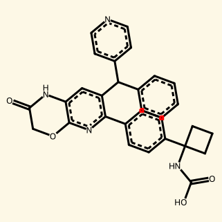 O=C(O)NC1(c2ccc(-c3nc4c(cc3C(c3ccccc3)c3ccncc3)NC(=O)CO4)cc2)CCC1